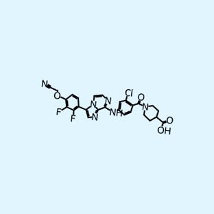 N#CCOc1ccc(-c2cnc3c(Nc4ccc(C(=O)N5CCC(C(=O)O)CC5)c(Cl)c4)nccn23)c(F)c1F